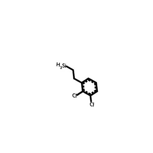 [SiH3]CCc1cccc(Cl)c1Cl